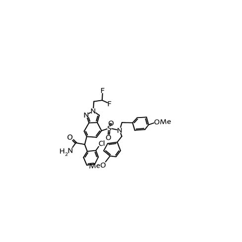 COc1ccc(CN(Cc2ccc(OC)cc2)S(=O)(=O)c2cc(C(C(N)=O)c3ccccc3Cl)cc3nn(CC(F)F)cc23)cc1